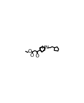 CCOC(=O)CC(=O)c1ccc(NCCC2CCCC2)cc1